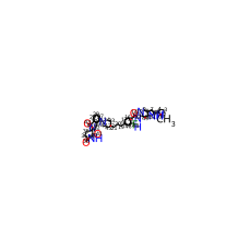 CN1CCC[C@@H]1c1cc2cnc(NC(=O)c3ccc(CCCC4CCN(c5cccc6c5CN(C5CCC(=O)NC5=O)C6=O)CC4)cc3F)cc2[nH]1